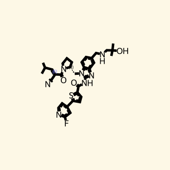 CC(C)/C=C(\C#N)C(=O)N1CCC[C@@H]1Cn1c(NC(=O)c2ccc(-c3ccnc(F)c3)s2)nc2cc(CNCC(C)(C)O)ccc21